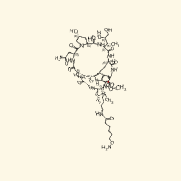 CC[C@H](C)[C@@H]1NC(=O)CNC(=O)[C@@H]2Cc3c([nH]c4c(CSCCCCNC(=O)CCCCCON)c(OC)ccc34)[S+]([O-])C[C@H](NC(=O)CNC1=O)C(=O)N[C@@H](CC(N)=O)C(=O)N1C[C@H](O)C[C@H]1C(=O)N[C@@H]([C@@H](C)[C@@H](O)CO)C(=O)N2